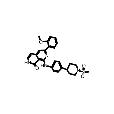 COc1ccccc1-c1cc2cc[nH]c(=O)c2c(Nc2ccc(C3CCN(S(C)(=O)=O)CC3)cc2)n1